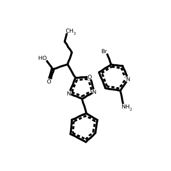 CCCC(C(=O)O)c1nc(-c2ccccc2)no1.Nc1ccc(Br)cn1